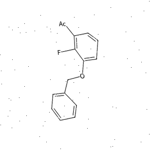 CC(=O)c1cccc(OCc2ccccc2)c1F